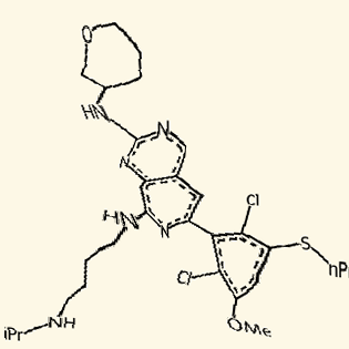 CCCSc1cc(OC)c(Cl)c(-c2cc3cnc(NC4CCCOC4)nc3c(NCCCCNC(C)C)n2)c1Cl